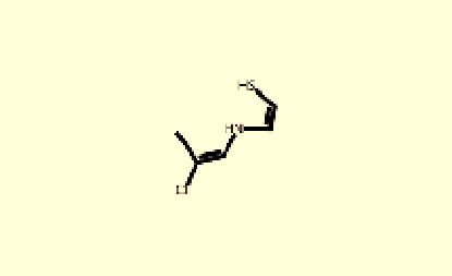 C/C(Cl)=C\N/C=C\S